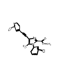 COC(=O)c1nc(C#Cc2ccnc(Cl)c2)c(C)n1-c1cccc(Cl)c1